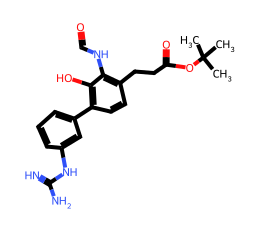 CC(C)(C)OC(=O)CCc1ccc(-c2cccc(NC(=N)N)c2)c(O)c1NC=O